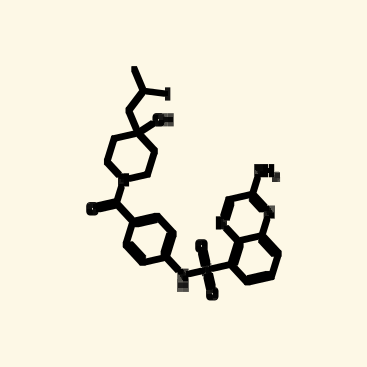 CC(I)CC1(O)CCN(C(=O)c2ccc(NS(=O)(=O)c3cccc4nc(N)cnc34)cc2)CC1